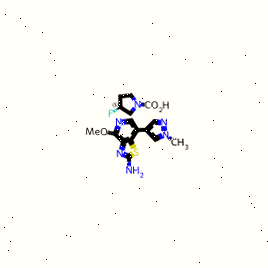 COc1ncc(-c2cnn(C)c2)c2sc(N)nc12.O=C(O)N1CC[C@H](F)C1